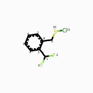 FC(F)c1ccccc1CSCl